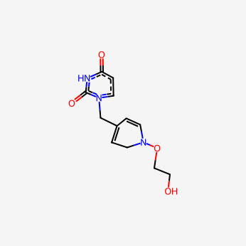 O=c1ccn(CC2=CCN(OCCO)C=C2)c(=O)[nH]1